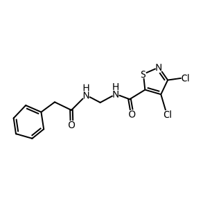 O=C(Cc1ccccc1)NCNC(=O)c1snc(Cl)c1Cl